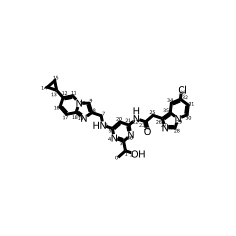 CC(O)c1nc(NCc2cn3cc(C4CC4)ccc3n2)cc(NC(=O)Cc2ncn3ccc(Cl)cc23)n1